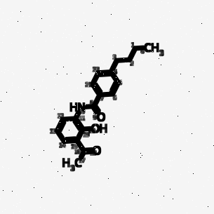 CCCCc1ccc(C(=O)Nc2cccc(C(C)=O)c2O)cc1